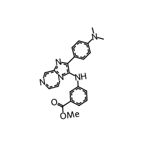 COC(=O)c1cccc(Nc2c(-c3ccc(N(C)C)cc3)nc3cnccn23)c1